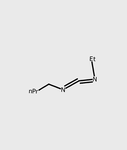 CCCCN=C=NCC